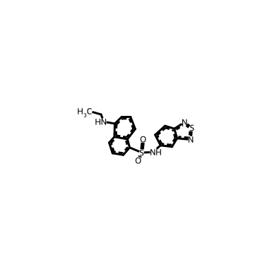 CCNc1cccc2c(S(=O)(=O)Nc3ccc4nsnc4c3)cccc12